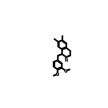 COc1ccc(CC2NCCc3cc(C)c(C)cc32)cc1OC